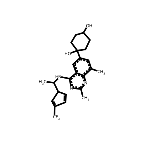 Cc1nc(NC(C)C2C=CC(C(F)(F)F)=C2)c2cc(C3(O)CCC(O)CC3)cc(C)c2n1